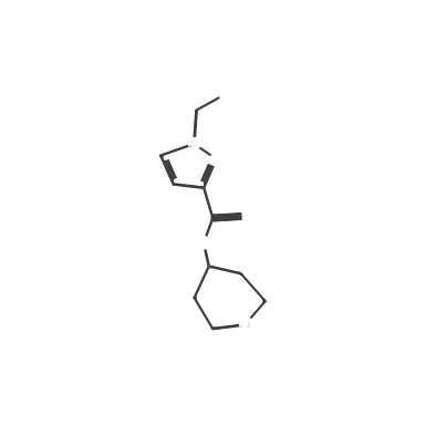 CCn1ccc(C(=O)NC2CCNCC2)n1